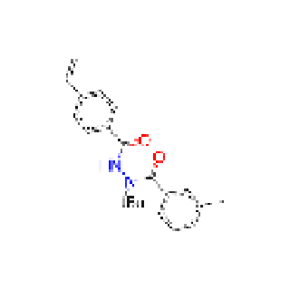 C=Cc1ccc(C(=O)NN(C(=O)c2cccc(C)c2)C(C)(C)C)cc1